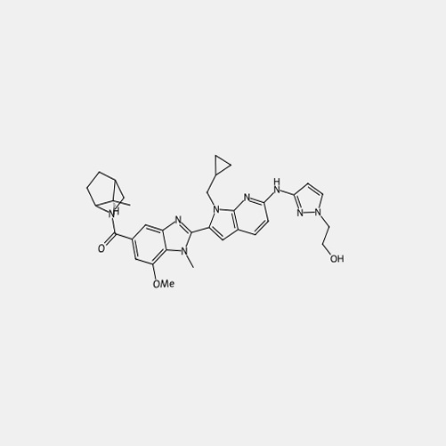 COc1cc(C(=O)N2CC3CCC2[C@@H]3C)cc2nc(-c3cc4ccc(Nc5ccn(CCO)n5)nc4n3CC3CC3)n(C)c12